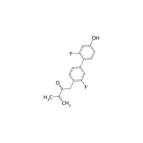 C=C(C)C(=O)Cc1ccc(-c2ccc(O)cc2F)cc1F